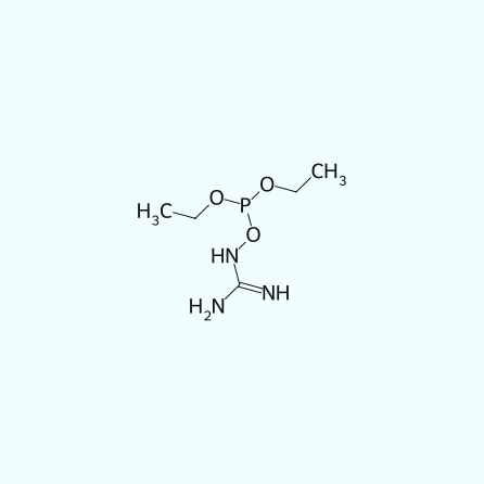 CCOP(OCC)ONC(=N)N